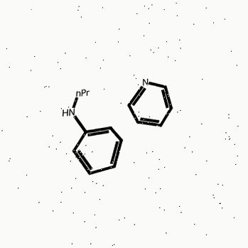 CCCNc1ccccc1.c1ccncc1